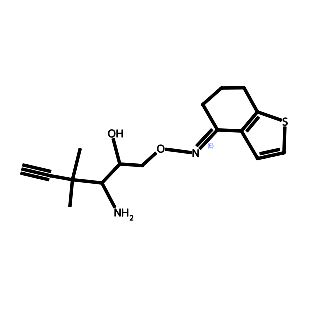 C#CC(C)(C)C(N)C(O)CO/N=C1\CCCc2sccc21